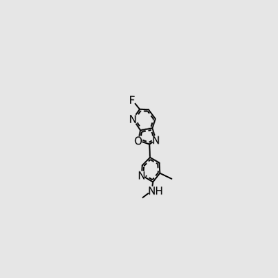 CNc1ncc(-c2nc3ccc(F)nc3o2)cc1C